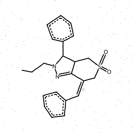 CCCN1N=C2/C(=C\c3ccccc3)CS(=O)(=O)CC2C1c1ccccc1